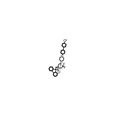 COc1ccc(-c2ccc(N3CCN(CCCCC4(C(=O)NCC(F)(F)F)c5ccccc5-c5ccccc54)CC3)cc2)cc1